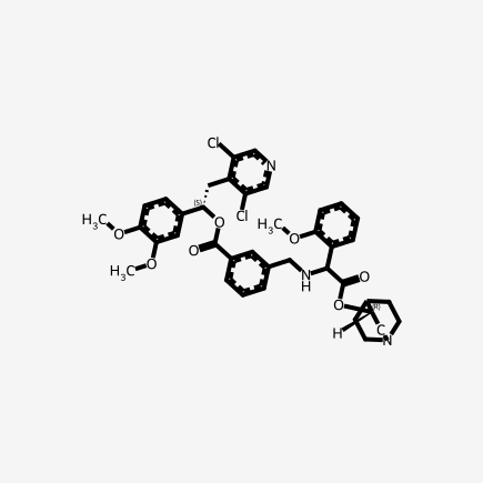 COc1ccc([C@H](Cc2c(Cl)cncc2Cl)OC(=O)c2cccc(CNC(C(=O)O[C@H]3CN4CCC3CC4)c3ccccc3OC)c2)cc1OC